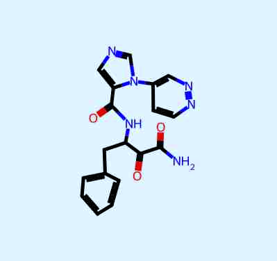 NC(=O)C(=O)C(Cc1ccccc1)NC(=O)c1cncn1-c1ccnnc1